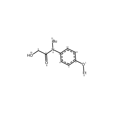 CCOc1ccc(N(C(=O)CO)C(C)CC)cc1